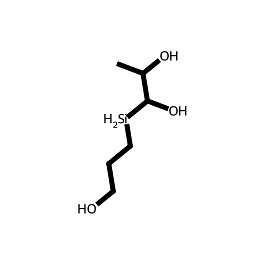 CC(O)C(O)[SiH2]CCCO